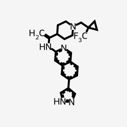 C=C(Nc1cc2cc(-c3cn[nH]c3)ccc2cn1)C1CCN(CC2(C(F)(F)F)CC2)CC1